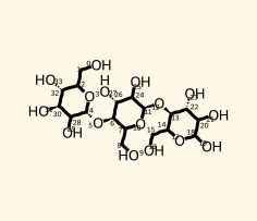 OCC1O[C@H](O[C@@H]2C(CO)O[C@H](O[C@@H]3C(CO)OC(O)C(O)[C@H]3O)C(O)[C@H]2O)C(O)[C@@H](O)[C@@H]1O